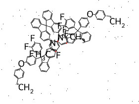 C=Cc1ccc(Oc2ccc(C3(c4ccc(F)c(F)c4F)c4ccccc4-c4ccc(N(c5ccc(C)c(F)c5)c5ccc6c(c5)C5(c7ccccc7-6)c6ccccc6-c6ccc(N(c7ccc(C)c(F)c7)c7ccc8c(c7)C(c7ccc(Oc9ccc(C=C)cc9)cc7)(c7ccc(F)c(F)c7F)c7ccccc7-8)cc65)cc43)cc2)cc1